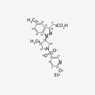 CCOc1ccc(S(=O)(=O)N2C[C@@H](C)[C@@H](n3nc(CC(=O)O)c4cc(C)ccc43)C2)cn1